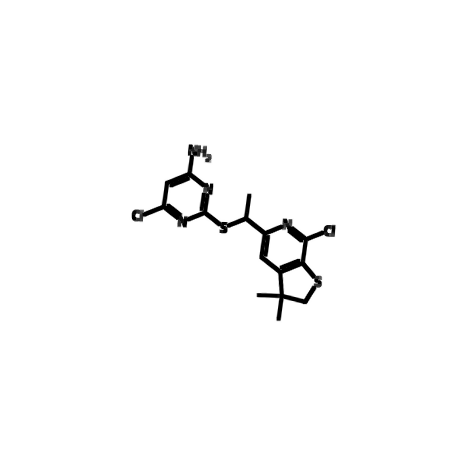 CC(Sc1nc(N)cc(Cl)n1)c1cc2c(c(Cl)n1)SCC2(C)C